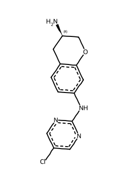 N[C@H]1COc2cc(Nc3ncc(Cl)cn3)ccc2C1